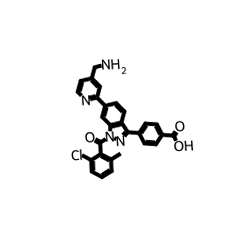 Cc1cccc(Cl)c1C(=O)n1nc(-c2ccc(C(=O)O)cc2)c2ccc(-c3cc(CN)ccn3)cc21